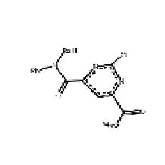 COC(=O)c1cc(C(=O)[N]([Rb])[RaH])nc(Cl)n1